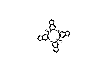 O=[PH]1c2cc3c(cc2Nc2cc4c(cc2[PH](=O)c2cc5c(cc2Nc2cc6c(cc21)CC=C6)CC=C5)CC=C4)CC=C3